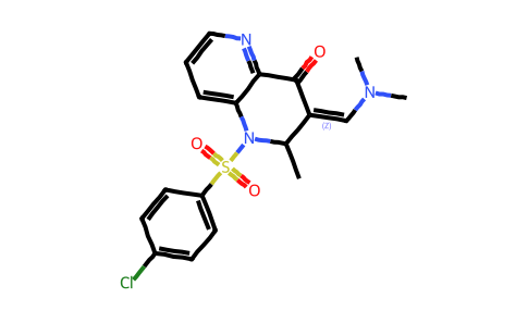 CC1/C(=C/N(C)C)C(=O)c2ncccc2N1S(=O)(=O)c1ccc(Cl)cc1